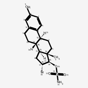 C[C@]12CC[C@@H]3c4ccc(O)cc4CC[C@H]3[C@@H]1C[C@@H](Br)[C@@H]2OS(N)(=O)=O